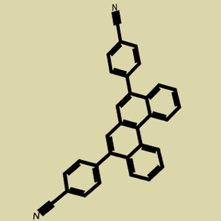 N#Cc1ccc(-c2cc3cc(-c4ccc(C#N)cc4)c4ccccc4c3c3ccccc23)cc1